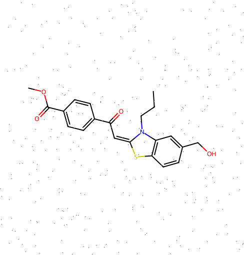 CCCN1/C(=C\C(=O)c2ccc(C(=O)OC)cc2)Sc2ccc(CO)cc21